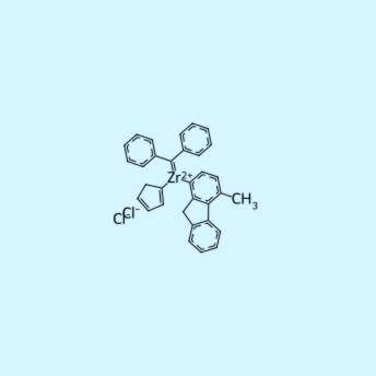 Cc1cc[c]([Zr+2]([C]2=CC=CC2)=[C](c2ccccc2)c2ccccc2)c2c1-c1ccccc1C2.[Cl-].[Cl-]